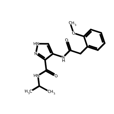 COc1ccccc1CC(=O)Nc1c[nH]nc1C(=O)NC(C)C